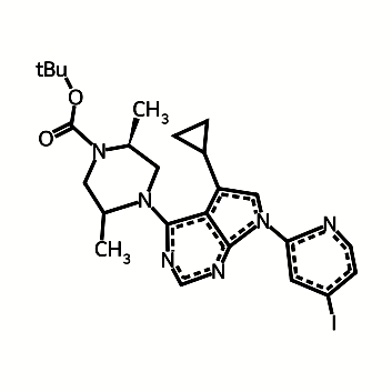 CC1CN(C(=O)OC(C)(C)C)[C@@H](C)CN1c1ncnc2c1c(C1CC1)cn2-c1cc(I)ccn1